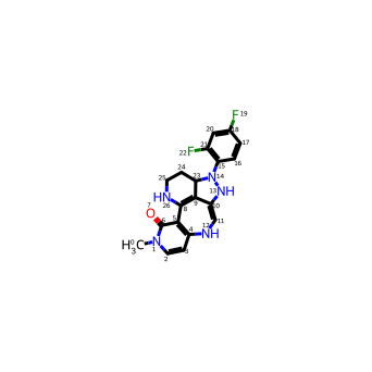 Cn1ccc2c(c1=O)C1=C3C(=CN2)NN(c2ccc(F)cc2F)C3CCN1